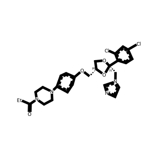 CCC(=O)N1CCN(c2ccc(OC[C@@H]3CO[C@@](Cn4ccnc4)(c4ccc(Cl)cc4Cl)O3)cc2)CC1